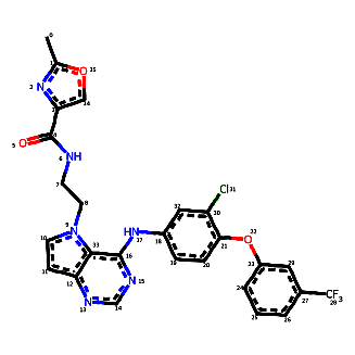 Cc1nc(C(=O)NCCn2ccc3ncnc(Nc4ccc(Oc5cccc(C(F)(F)F)c5)c(Cl)c4)c32)co1